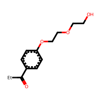 CCC(=O)c1ccc(OCCOCCO)cc1